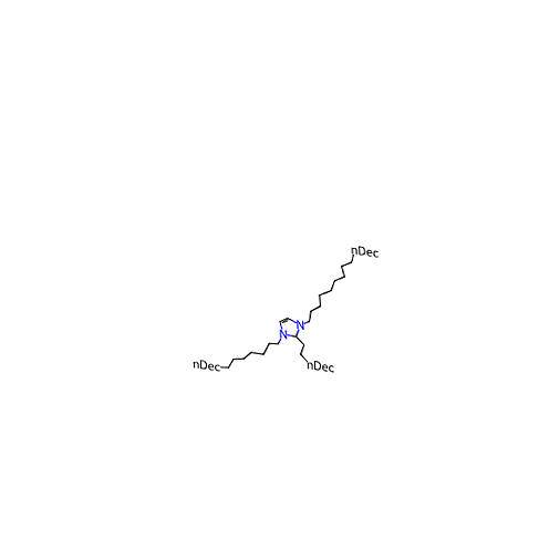 CCCCCCCCCCCCCCCCCCCN1C=CN(CCCCCCCCCCCCCCCCC)C1CCCCCCCCCCCC